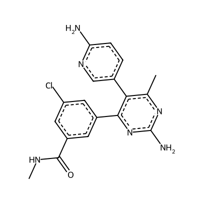 CNC(=O)c1cc(Cl)cc(-c2nc(N)nc(C)c2-c2ccc(N)nc2)c1